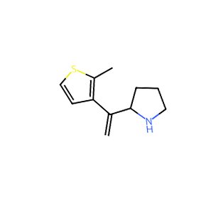 C=C(c1ccsc1C)C1CCCN1